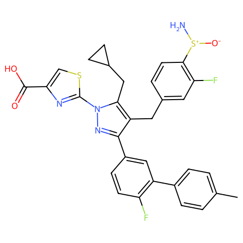 Cc1ccc(-c2cc(-c3nn(-c4nc(C(=O)O)cs4)c(CC4CC4)c3Cc3ccc([S+](N)[O-])c(F)c3)ccc2F)cc1